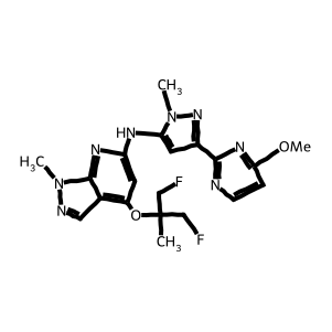 COc1ccnc(-c2cc(Nc3cc(OC(C)(CF)CF)c4cnn(C)c4n3)n(C)n2)n1